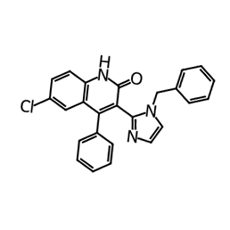 O=c1[nH]c2ccc(Cl)cc2c(-c2ccccc2)c1-c1nccn1Cc1ccccc1